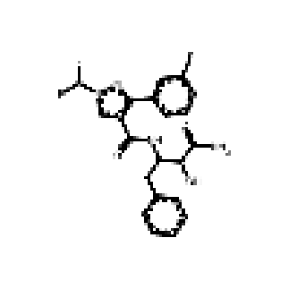 NC(=O)C(O)C(Cc1ccccc1)NC(=O)c1cn(C(F)F)nc1-c1cccc(F)c1